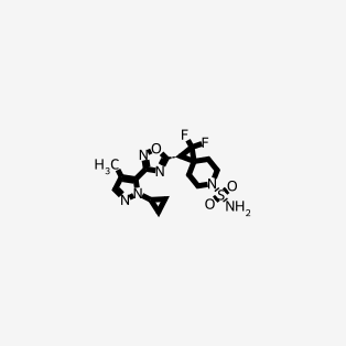 Cc1cnn(C2CC2)c1-c1noc([C@@H]2C(F)(F)C23CCN(S(N)(=O)=O)CC3)n1